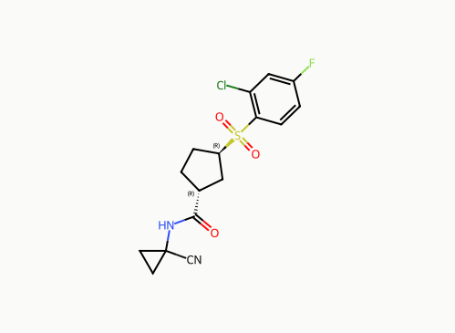 N#CC1(NC(=O)[C@@H]2CC[C@@H](S(=O)(=O)c3ccc(F)cc3Cl)C2)CC1